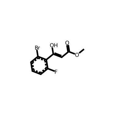 COC(=O)/C=C(\O)c1c(F)cccc1Br